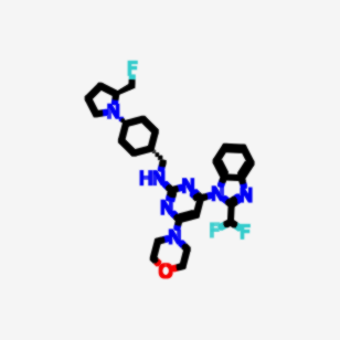 FC[C@@H]1CCCN1[C@H]1CC[C@@H](CNc2nc(N3CCOCC3)cc(-n3c(C(F)F)nc4ccccc43)n2)CC1